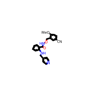 COc1ccc(C#N)cc1CONC(=O)c1ccccc1NCc1ccncc1